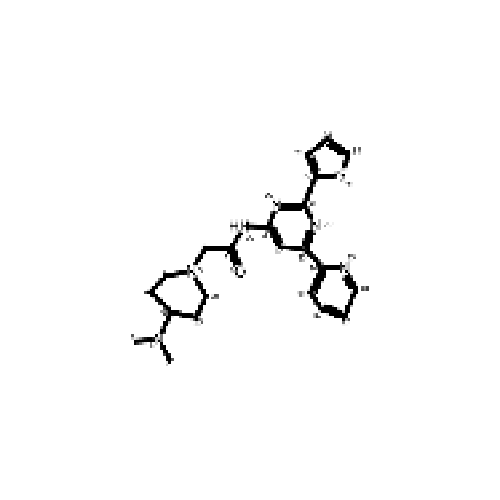 CN(C)C1CCN(CC(=O)Nc2cc(-c3ccccn3)nc(-c3cccs3)n2)CC1